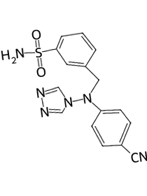 N#Cc1ccc(N(Cc2cccc(S(N)(=O)=O)c2)n2cnnc2)cc1